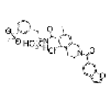 Cc1cc2c(c(Cl)c1C(=O)N[C@@H](Cc1cccc(S(C)(=O)=O)c1)C(=O)O)CCN(C(=O)c1ccc3ccoc3c1)C2